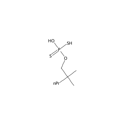 CCCC(C)(C)COP(O)(=S)S